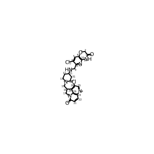 O=C1COc2cc(Cl)c(CNC3CCN(CC4Cn5c(=O)ccc6ncc(Cl)c4c65)CC3)nc2N1